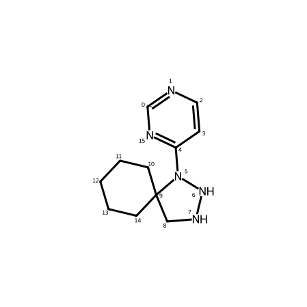 [c]1nccc(N2NNCC23CCCCC3)n1